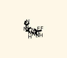 CNc1nc(Nc2cnn([C@@H]3CCN(C)C3)c2C)ncc1C(F)(F)CF